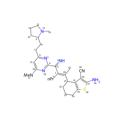 CCC/C(C(=N)c1nc(CCC2CCCN2C)cc(NC)n1)=C(/C)C1CCCc2sc(N)c(C#N)c21